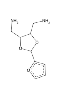 NCC1OC(c2ccco2)OC1CN